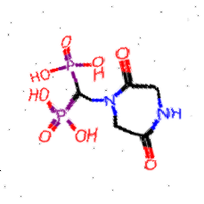 O=C1CN(C(P(=O)(O)O)P(=O)(O)O)C(=O)CN1